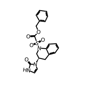 O=C(OCc1ccccc1)S(=O)(=O)N1C[C@H](n2cc[nH]c2=O)Cc2ccccc21